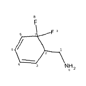 NCC1C=CC=CC1(F)F